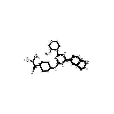 C[C@H]1COCCN1c1nc(OC2CCC(C(=O)N(C)C)CC2)nc(-c2ccc3[nH]ncc3c2)n1